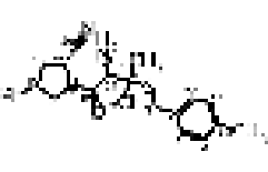 Cc1ccc(CSC(C)(C)[C@H](N)C(=O)N2C[C@@H](F)C[C@H]2C#N)cc1